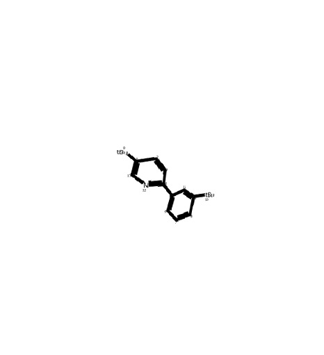 CC(C)(C)c1ccc(-c2cccc(C(C)(C)C)c2)nc1